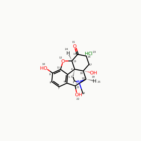 CN1CC[C@]23c4c5ccc(O)c4O[C@H]2C(=O)CC[C@@]3(O)[C@H]1C5O.Cl